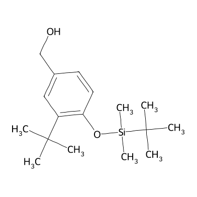 CC(C)(C)c1cc(CO)ccc1O[Si](C)(C)C(C)(C)C